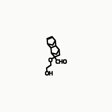 O=CC1(OCCO)CC2CC1C1C3C=CC(C3)C21